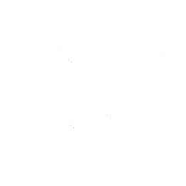 O=C(O)C1=C(C(=O)Nc2sc3c(c2-c2nc(C(F)(F)F)no2)CCC(F)(F)C3)CCC1